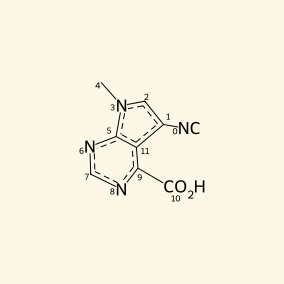 [C-]#[N+]c1cn(C)c2ncnc(C(=O)O)c12